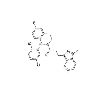 Cc1nn(CCC(=O)N2CCc3cc(F)ccc3[C@H]2c2cc(Cl)ccc2O)c2ccccc12